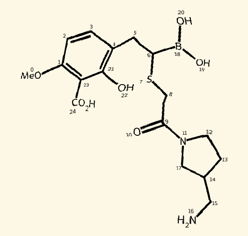 COc1ccc(CC(SCC(=O)N2CCC(CN)C2)B(O)O)c(O)c1C(=O)O